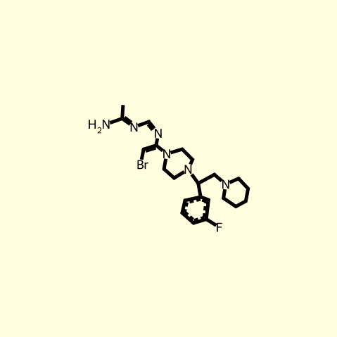 C\C(N)=N/C=N\C(=C\Br)N1CCN(C(CN2CCCCC2)c2cccc(F)c2)CC1